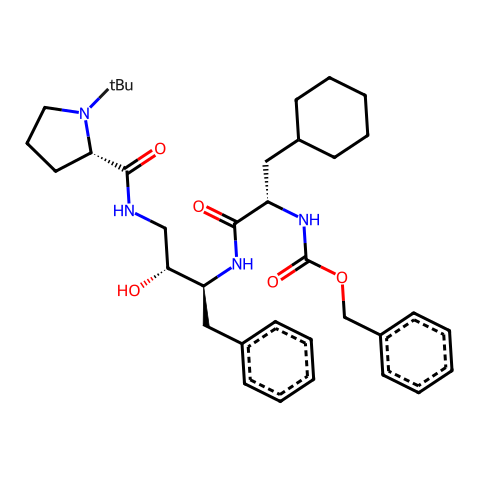 CC(C)(C)N1CCC[C@H]1C(=O)NC[C@@H](O)[C@H](Cc1ccccc1)NC(=O)[C@H](CC1CCCCC1)NC(=O)OCc1ccccc1